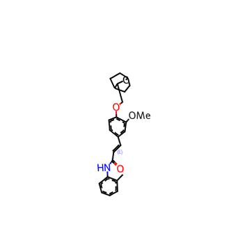 COc1cc(/C=C/C(=O)Nc2ccccc2C)ccc1OCC1CC2CCC1CC2